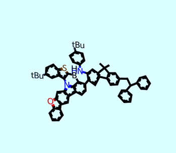 CC(C)(C)c1ccc(Nc2cc3c(cc2-c2ccc4c5cc6c(cc5n5c4c2Bc2sc4ccc(C(C)(C)C)cc4c2-5)oc2ccccc26)-c2ccc(CC(c4ccccc4)c4ccccc4)cc2C3(C)C)cc1